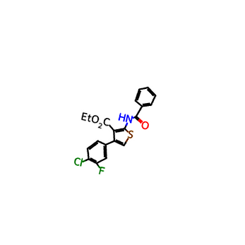 CCOC(=O)c1c(-c2ccc(Cl)c(F)c2)csc1NC(=O)c1ccccc1